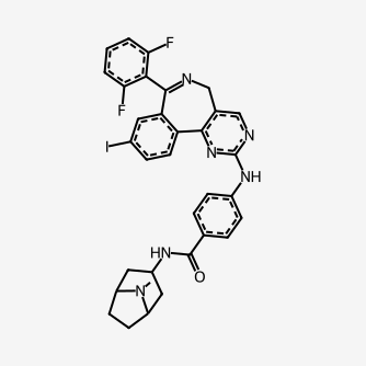 CN1C2CCC1CC(NC(=O)c1ccc(Nc3ncc4c(n3)-c3ccc(I)cc3C(c3c(F)cccc3F)=NC4)cc1)C2